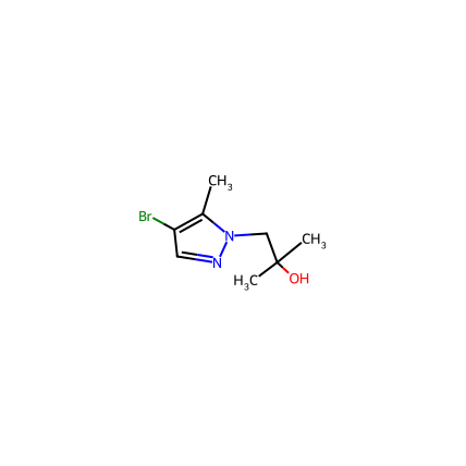 Cc1c(Br)cnn1CC(C)(C)O